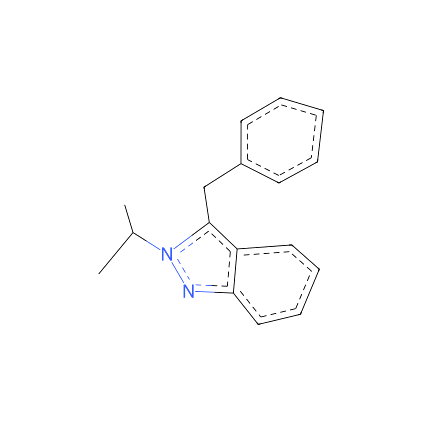 CC(C)n1nc2ccccc2c1Cc1ccccc1